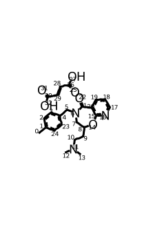 Cc1ccc(CN2CC(CCN(C)C)Oc3ncccc3C2=O)cc1.O=C(O)C=CC(=O)O